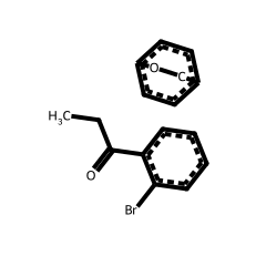 CCC(=O)c1ccccc1Br.c1cc2ccc1CO2